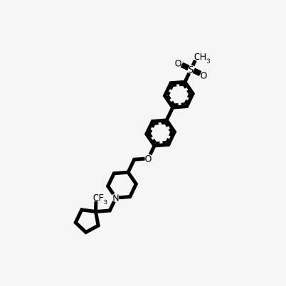 CS(=O)(=O)c1ccc(-c2ccc(OCC3CCN(CC4(C(F)(F)F)CCCC4)CC3)cc2)cc1